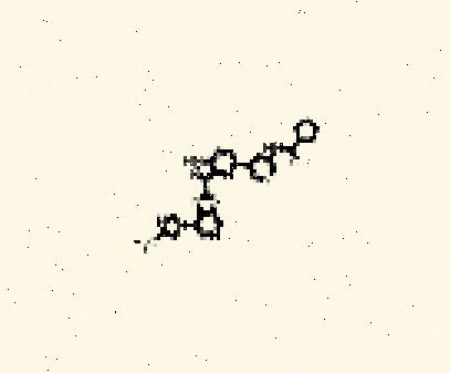 Cc1cn(-c2cncc3[nH]c(-c4n[nH]c5ccc(-c6cncc(NC(=O)C7CCCC7)c6)nc45)nc23)cn1